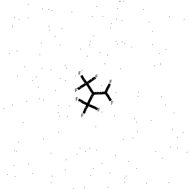 FC(F)C(C(F)(F)F)C(F)(F)F